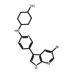 OC1CCC(Nc2ccc(-c3c[nH]c4ncc(Br)cc34)cn2)CC1